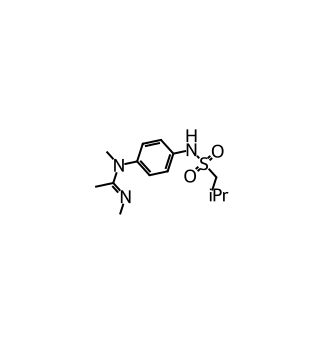 CN=C(C)N(C)c1ccc(NS(=O)(=O)CC(C)C)cc1